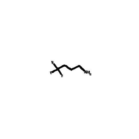 NC[CH]CC(F)(F)F